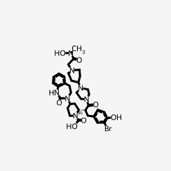 CN(O)C(=O)CN1CCC(N2CCN(C(=O)C(Cc3ccc(O)c(Br)c3)[C@H]3CC(N4CCc5ccccc5NC4=O)CCN3C(=O)O)CC2)CC1